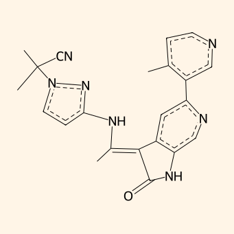 CC(Nc1ccn(C(C)(C)C#N)n1)=C1C(=O)Nc2cnc(-c3cnccc3C)cc21